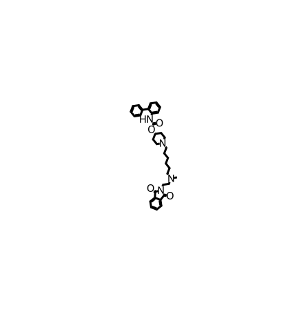 CN(CCCCCCN1CCC(OC(=O)Nc2ccccc2-c2ccccc2)CC1)CCN1C(=O)c2ccccc2C1=O